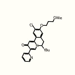 COCCCOc1cc2c(cc1Cl)-c1cc(=O)c(-c3ccccn3)cn1C(C(C)(C)C)C2